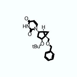 CC(C)(C)O[C@H]1C[C@H](n2ccc(=O)[nH]c2=O)[C@H]2C[C@]12COCc1ccccc1